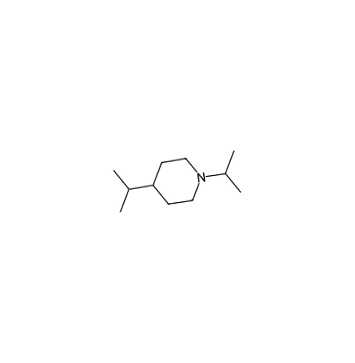 CC(C)C1CCN(C(C)C)CC1